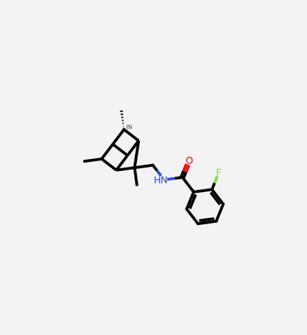 CC1C2C3C1C(C)(CNC(=O)c1ccccc1F)C3[C@H]2C